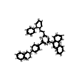 C1=CC(/C=C/c2nc(-c3ccc(C4C=c5ccccc5=NC4)cc3)nc(-c3cc4ccccc4c4ccccc34)n2)C(c2ccccc2)C=C1